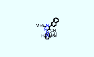 CSc1nc(-c2ccc3ccccc3c2)c(C#N)c(N2C[C@@H]3CC[C@@](C(C)(C)C)(C2)N3C(=O)O)n1